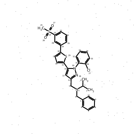 CC(C)N(Cc1ccccc1)Cc1cc(-c2ccc(-c3cccc(S(C)(=O)=O)c3)s2)n(-c2ccccc2Cl)n1